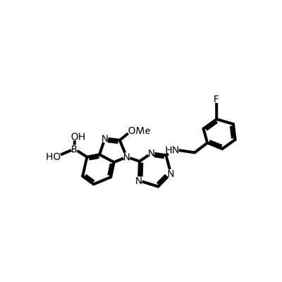 COc1nc2c(B(O)O)cccc2n1-c1ncnc(NCc2cccc(F)c2)n1